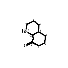 O=C1CCCC2CCCNC12